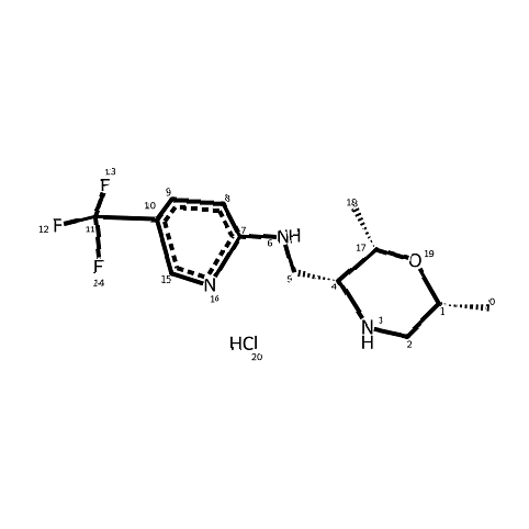 C[C@@H]1CN[C@H](CNc2ccc(C(F)(F)F)cn2)[C@H](C)O1.Cl